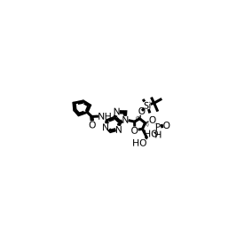 CC(C)(C)[Si](C)(C)O[C@H]1C(n2cnc3c(NC(=O)c4ccccc4)ncnc32)OC(CO)[C@H]1O[PH](=O)O